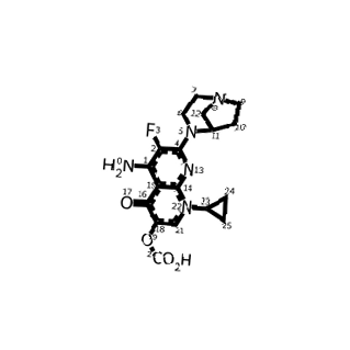 Nc1c(F)c(N2CCN3CCC2C3)nc2c1c(=O)c(OC(=O)O)cn2C1CC1